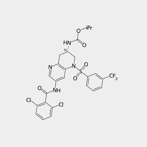 CC(C)OC(=O)N[C@H]1Cc2ncc(NC(=O)c3c(Cl)cccc3Cl)cc2N(S(=O)(=O)c2cccc(C(F)(F)F)c2)C1